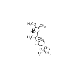 C=C(C[C@@H](O)C[C@@H](C)[C@H]1CCC2C(O[Si](C)(C)C)CCC[C@@]21C)C(=O)OC